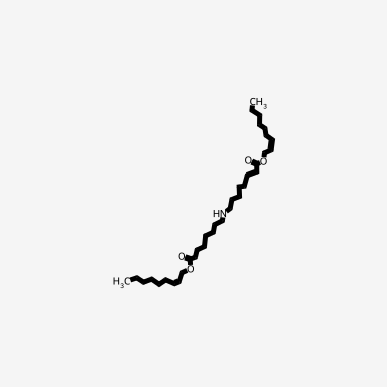 CCCCCC/C=C\COC(=O)/C=C/CCCCCNCCCCCCCC(=O)OC/C=C\CCCCCC